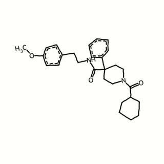 COc1ccc(CCNC(=O)C2(c3ccccc3)CCN(C(=O)C3CCCCC3)CC2)cc1